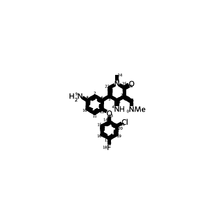 CN/C=C1\C(=N)C(c2cc(N)ccc2Oc2ccc(F)cc2Cl)=CN(C)C1=O